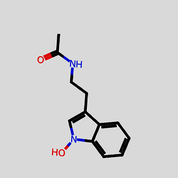 CC(=O)NCCc1cn(O)c2ccccc12